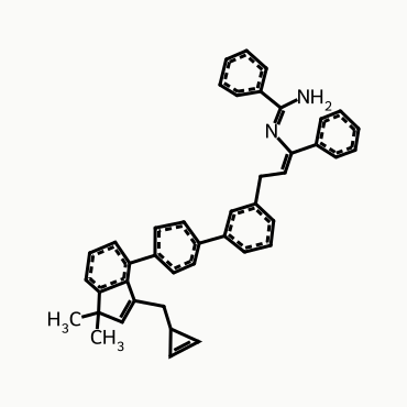 CC1(C)C=C(CC2C=C2)c2c(-c3ccc(-c4cccc(C/C=C(\N=C(/N)c5ccccc5)c5ccccc5)c4)cc3)cccc21